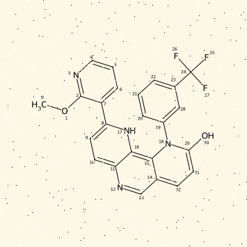 COc1ncccc1C1=CC=c2ncc3c(c2N1)N(c1cccc(C(F)(F)F)c1)C(O)=CC=3